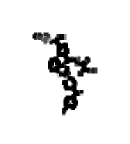 CCOC(=O)NC(=N)c1ccc(C(=O)N(CCN2CCC(C(=O)c3ccc(F)cc3)CC2)c2ccccc2OC)cc1.O=C(O)C(=O)O